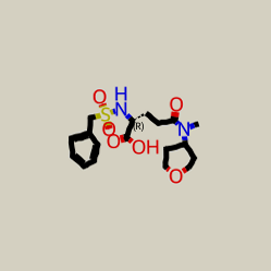 CN(C(=O)CC[C@@H](NS(=O)(=O)Cc1ccccc1)C(=O)O)C1CCOCC1